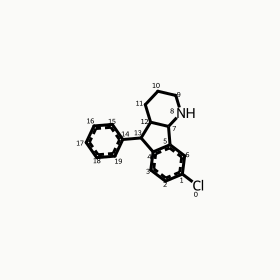 Clc1ccc2c(c1)C1NCCCC1C2c1ccccc1